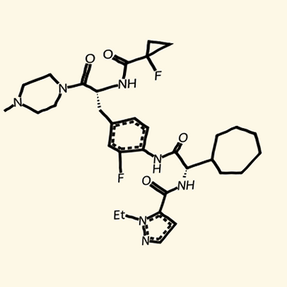 CCn1nccc1C(=O)N[C@H](C(=O)Nc1ccc(C[C@@H](NC(=O)C2(F)CC2)C(=O)N2CCN(C)CC2)cc1F)C1CCCCCC1